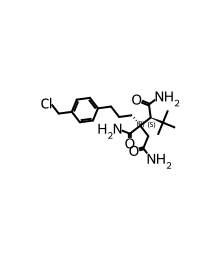 CC(C)(C)[C@H](C(N)=O)[C@@](CCCc1ccc(CCl)cc1)(CC(N)=O)C(N)=O